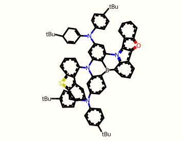 CC(C)(C)c1ccc(N(C2=CCC(C(C)(C)C)C=C2)c2cc3c4c(c2)-n2c5c(cccc5c5oc6ccccc6c52)B4c2ccc(N(c4ccc(C(C)(C)C)cc4)c4ccc(C(C)(C)C)cc4)cc2N3c2cccc3sc4ccccc4c23)cc1